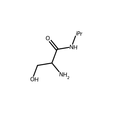 CC(C)NC(=O)C(N)CO